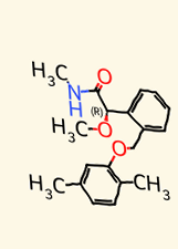 CNC(=O)[C@H](OC)c1ccccc1COc1cc(C)ccc1C